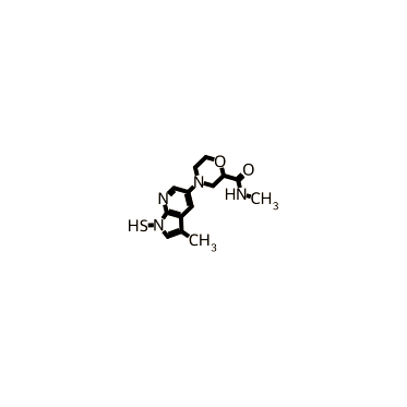 CNC(=O)C1CN(c2cnc3c(c2)c(C)cn3S)CCO1